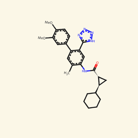 COc1ccc(-c2cc(C)c(NC(=O)[C@@H]3C[C@H]3C3CCCCC3)cc2-c2nnn[nH]2)cc1OC